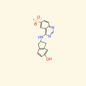 CS(=O)(=O)c1ccc2ncnc(NC3Cc4ccc(O)cc4C3)c2c1